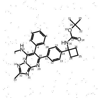 CNc1c(-c2ccccc2)c(-c2ccc(C3(NC(=O)OC(C)(C)C)CCC3)cc2)nc2nc(C)nn12